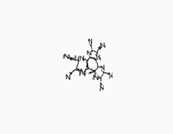 CC12N=C(C#N)C(C#N)=NC1c1nc(C#N)c(C#N)nc1C1=C2N=C(C#N)C(C#N)N1